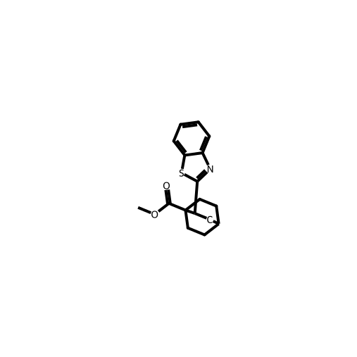 COC(=O)C12CCC(CC1)CC2c1nc2ccccc2s1